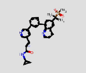 CC(C)(c1cc(-c2cccc(-c3cncc(/C=C/C(=O)NC4CC4)c3)c2)c2ncccc2c1)S(C)(=O)=O